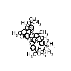 Cc1cc2c3c(c1)N(c1ccc(C(C)(C)C)cc1C)c1c(sc4ccc(C(C)(C)C)cc14)B3c1ccc3c4c1N2c1ccc(C(C)(C)C)cc1C4(C)CCC3(C)C